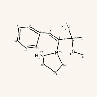 COC(C)(N)C(=Cc1ccccc1)N1CCC[SiH2]1